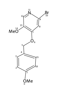 COc1ccc(COc2cc(Br)ncc2OC)cc1